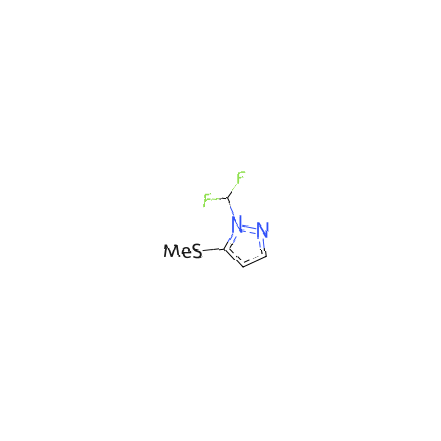 CSc1ccnn1C(F)F